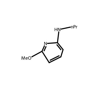 CCCNc1cccc(OC)n1